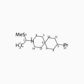 CSC(C)N1CCC2(CCC(C(C)C)CC2)CC1